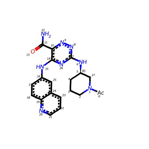 CC(=O)N1CCC[C@@H](Nc2nnc(C(N)=O)c(Nc3ccc4ncccc4c3)n2)C1